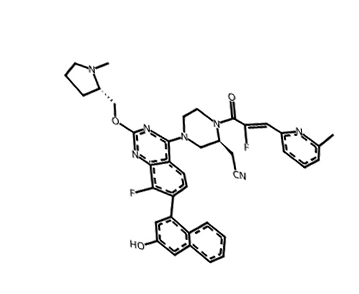 Cc1cccc(/C=C(\F)C(=O)N2CCN(c3nc(OC[C@@H]4CCCN4C)nc4c(F)c(-c5cc(O)cc6ccccc56)ccc34)C[C@@H]2CC#N)n1